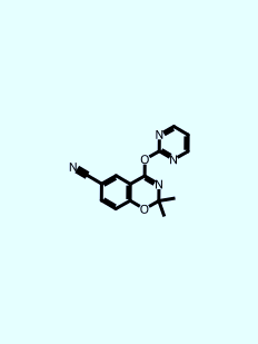 CC1(C)N=C(Oc2ncccn2)c2cc(C#N)ccc2O1